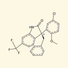 COc1ccc(Cl)cc1[C@@]1(Cc2ccccc2)C(=O)Nc2cc(C(F)(F)F)ccc21